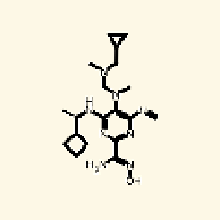 C=Nc1nc(/C(N)=N/O)nc(N[C@H](C)C2CCC2)c1N(C)CN(C)CC1CC1